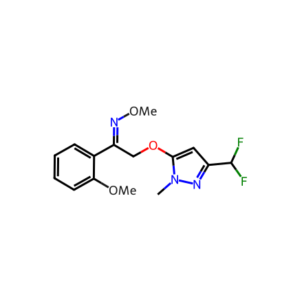 CON=C(COc1cc(C(F)F)nn1C)c1ccccc1OC